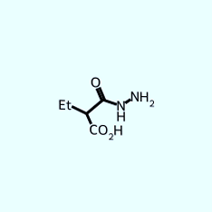 CCC(C(=O)O)C(=O)NN